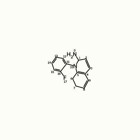 NC1C=CC2=C(CCC=C2)N1c1ccccc1F